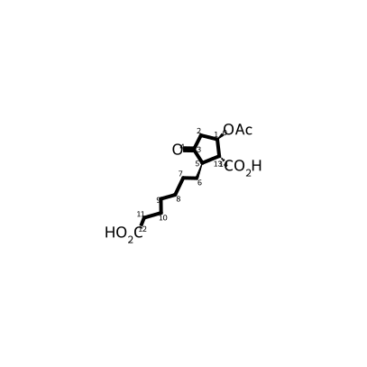 CC(=O)O[C@@H]1CC(=O)[C@H](CCCCCCC(=O)O)[C@H]1C(=O)O